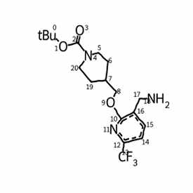 CC(C)(C)OC(=O)N1CCC(COc2nc(C(F)(F)F)ccc2CN)CC1